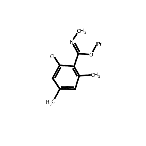 C/N=C(\OC(C)C)c1c(C)cc(C)cc1Cl